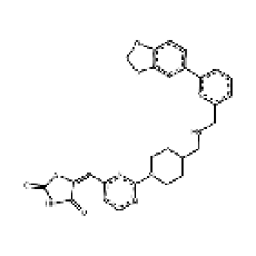 O=C1NC(=O)/C(=C\c2ccnc(N3CCC(CNCc4cccc(-c5ccc6c(c5)OCO6)n4)CC3)n2)S1